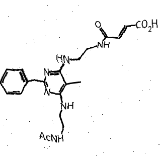 CC(=O)NCCNc1nc(-c2ccccc2)nc(NCCNC(=O)C=CC(=O)O)c1C